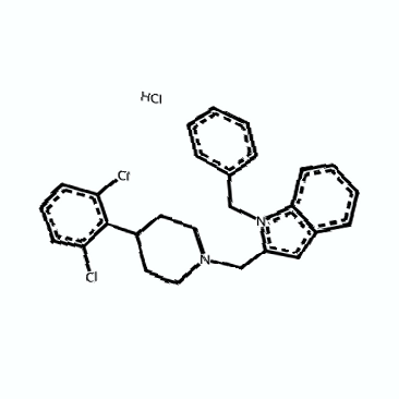 Cl.Clc1cccc(Cl)c1C1CCN(Cc2cc3ccccc3n2Cc2ccccc2)CC1